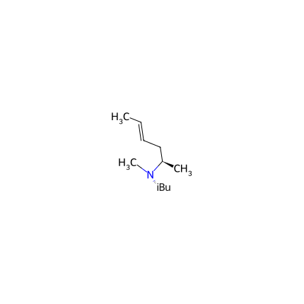 C/C=C/C[C@@H](C)N(C)[C@@H](C)CC